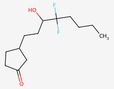 CCCCC(F)(F)C(O)CCC1CCC(=O)C1